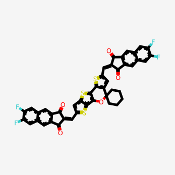 O=C1C(=Cc2cc3c(s2)-c2sc4cc(C=C5C(=O)c6cc7cc(F)c(F)cc7cc6C5=O)sc4c2OC32CCCCC2)C(=O)c2cc3cc(F)c(F)cc3cc21